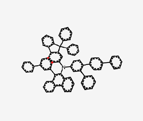 c1ccc(-c2ccc(-c3ccc(N(c4ccc5c(c4)C(c4ccccc4)(c4ccccc4)c4ccccc4-5)c4c(-c5cccc(-c6ccccc6)c5)c5ccccc5c5ccccc45)cc3-c3ccccc3)cc2)cc1